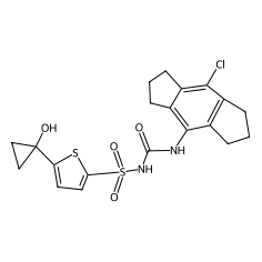 O=C(Nc1c2c(c(Cl)c3c1CCC3)CCC2)NS(=O)(=O)c1ccc(C2(O)CC2)s1